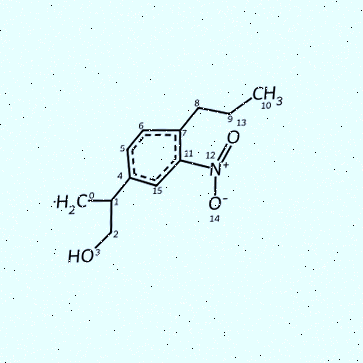 [CH2]C(CO)c1ccc(CCC)c([N+](=O)[O-])c1